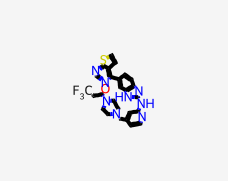 O=C(CC(F)(F)F)N1CCN(Cc2ccnc(Nc3nc4ccc(-c5ncnc6sccc56)cc4[nH]3)c2)CC1